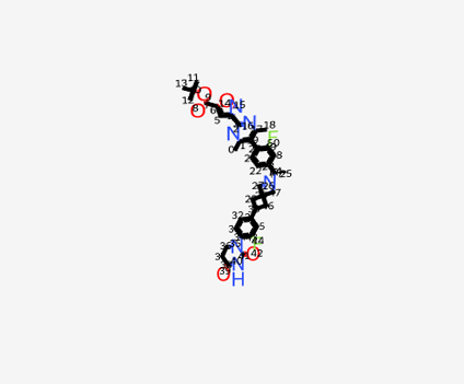 Cc1nc(-c2cc(C(=O)OC(C)(C)C)on2)nc(C)c1-c1ccc([C@@H](C)N2CC3(CC(c4ccc(N5CCC(=O)NC5=O)c(F)c4)C3)C2)cc1F